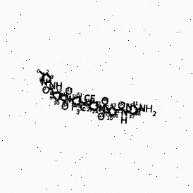 Cc1ccc(NC(=O)c2ccc3c(c2)C(=O)N(c2ccc(C(c4ccc(N5C(=O)c6ccc(C(=O)Nc7ccc(N)cn7)cc6C5=O)cc4)(C(F)(F)F)C(F)(F)F)cc2)C3=O)nc1